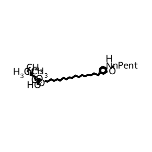 CCCCCC(=O)Nc1ccc(CCCCCCCCCCCCCCCCCCOP(=O)(O)OCC[N+](C)(C)C)cc1